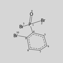 O=P(Br)(Br)c1ccccc1Br